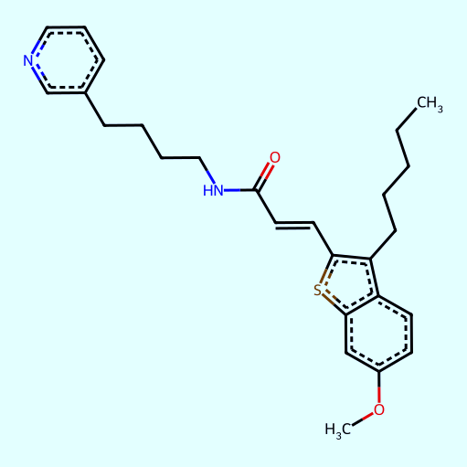 CCCCCc1c(C=CC(=O)NCCCCc2cccnc2)sc2cc(OC)ccc12